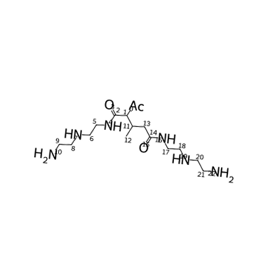 CC(=O)C(C(=O)NCCNCCN)C(C)CC(=O)NCCNCCN